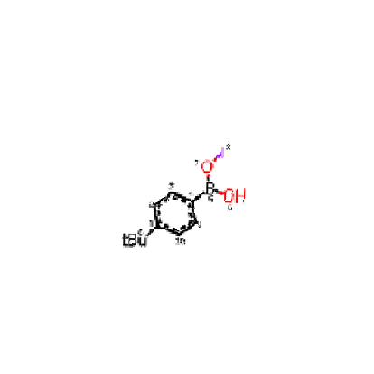 CC(C)(C)c1ccc(B(O)OI)cc1